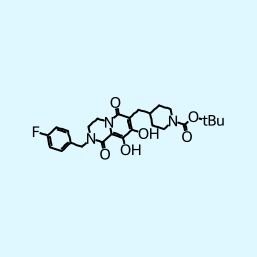 CC(C)(C)OC(=O)N1CCC(Cc2c(O)c(O)c3n(c2=O)CCN(Cc2ccc(F)cc2)C3=O)CC1